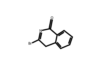 O=C1N=C(Br)Cc2ccccc21